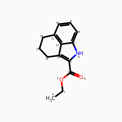 CCOC(=O)c1[nH]c2cccc3c2c1CCC3